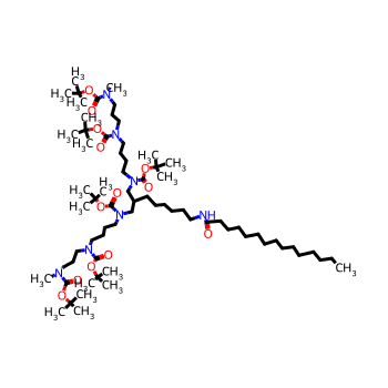 CCCCCCCCCCCCCCC(=O)NCCCCCCC(CN(CCCCN(CCCN(C)C(=O)OC(C)(C)C)C(=O)OC(C)(C)C)C(=O)OC(C)(C)C)CN(CCCCN(CCCN(C)C(=O)OC(C)(C)C)C(=O)OC(C)(C)C)C(=O)OC(C)(C)C